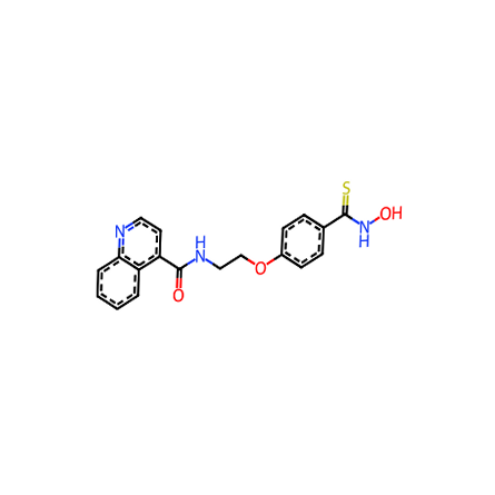 O=C(NCCOc1ccc(C(=S)NO)cc1)c1ccnc2ccccc12